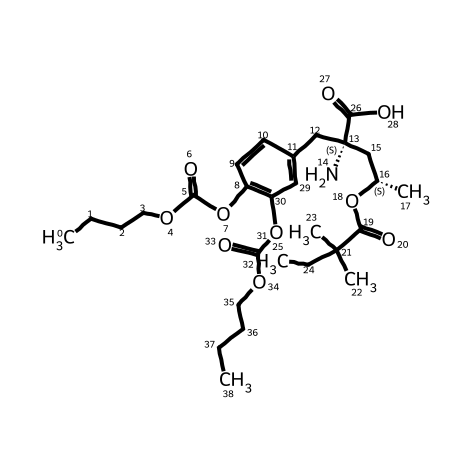 CCCCOC(=O)Oc1ccc(C[C@](N)(C[C@H](C)OC(=O)C(C)(C)CC)C(=O)O)cc1OC(=O)OCCCC